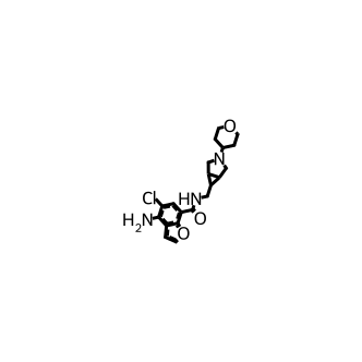 Nc1c(Cl)cc(C(=O)NCC2C3CN(C4CCOCC4)CC23)c2occc12